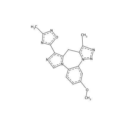 COc1ccc2c(c1)-n1nnc(C)c1Cc1c(-c3nc(C)no3)ncn1-2